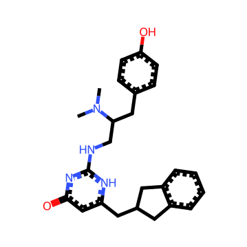 CN(C)C(CNc1nc(=O)cc(CC2Cc3ccccc3C2)[nH]1)Cc1ccc(O)cc1